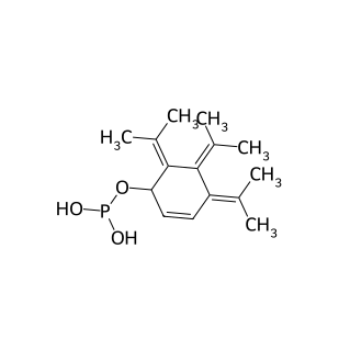 CC(C)=C1C=CC(OP(O)O)C(=C(C)C)C1=C(C)C